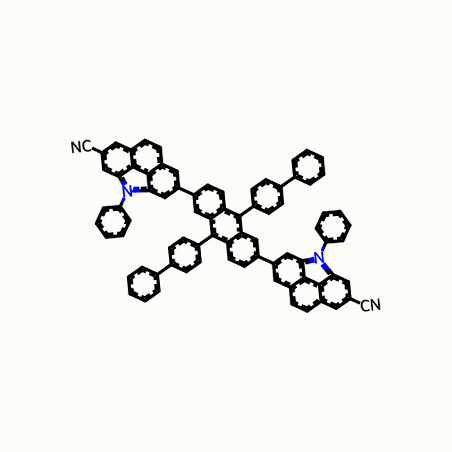 N#Cc1cc2ccc3cc(-c4ccc5c(-c6ccc(-c7ccccc7)cc6)c6cc(-c7cc8ccc9cc(C#N)cc%10c9c8c(c7)n%10-c7ccccc7)ccc6c(-c6ccc(-c7ccccc7)cc6)c5c4)cc4c3c2c(c1)n4-c1ccccc1